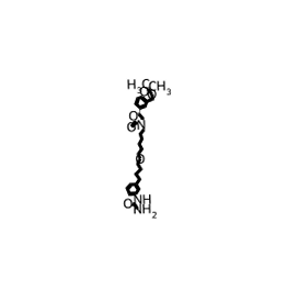 CC1(C)OCc2cc([C@@H]3CN(CCCCCCOCCCCc4cccc(NC(N)=O)c4)C(=O)O3)ccc2O1